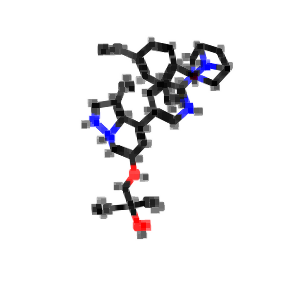 COc1ccc(CN2C3CC2CN(c2ccc(-c4cc(OCC(C)(C)O)cn5ncc(C#N)c45)cn2)C3)c(C)c1